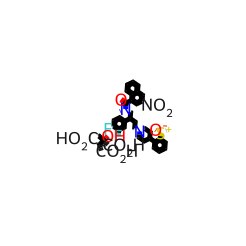 CN(CC(CCN1CCC(c2ccccc2[S+](C)[O-])CC1)c1ccc(F)c(F)c1)C(=O)c1cc([N+](=O)[O-])cc2ccccc12.O=C(O)CC(O)(CC(=O)O)C(=O)O